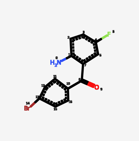 Nc1ccc(F)cc1C(=O)c1ccc(Br)cc1